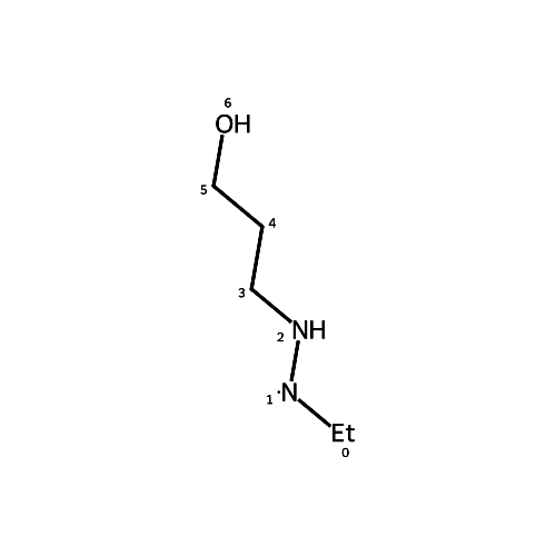 CC[N]NCCCO